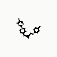 Cc1ccc(OCC2CC2CC2CCN(c3ncc(Cl)cn3)CC2)cc1